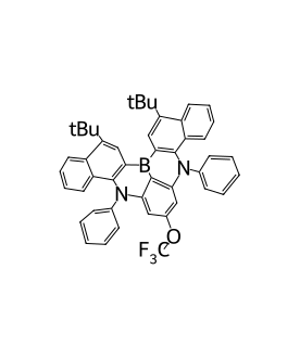 CC(C)(C)c1cc2c(c3ccccc13)N(c1ccccc1)c1cc(OC(F)(F)F)cc3c1B2c1cc(C(C)(C)C)c2ccccc2c1N3c1ccccc1